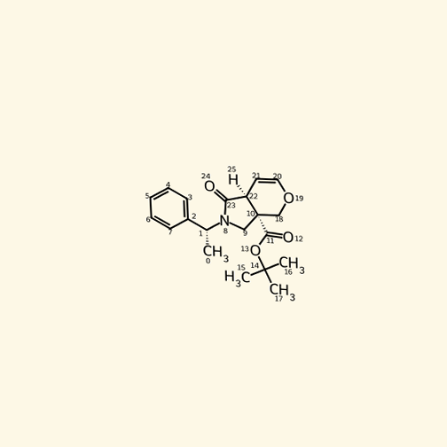 C[C@H](c1ccccc1)N1C[C@]2(C(=O)OC(C)(C)C)COC=C[C@@H]2C1=O